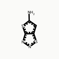 Nc1cc2snnc2s1